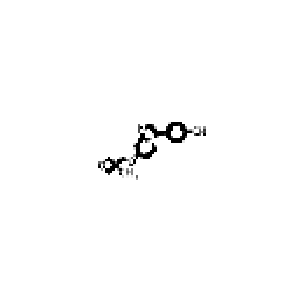 CC1(COc2ccn3c(-c4ccc(C#N)cc4)cnc3c2)COC1